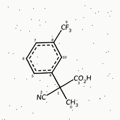 CC(C#N)(C(=O)O)c1cccc(C(F)(F)F)c1